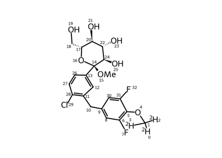 [2H]C([2H])([2H])Oc1c(F)cc(Cc2cc([C@]3(OC)O[C@H](CO)[C@@H](O)[C@H](O)[C@H]3O)ccc2Cl)cc1F